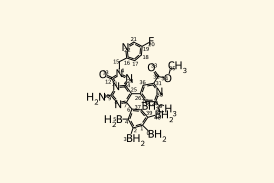 Bc1c(B)c(B)c(-c2nc(N)n3c(=O)n(Cc4ccc(F)cn4)nc3c2-c2cc(C)nc(C(=O)OC)c2)c(B)c1B